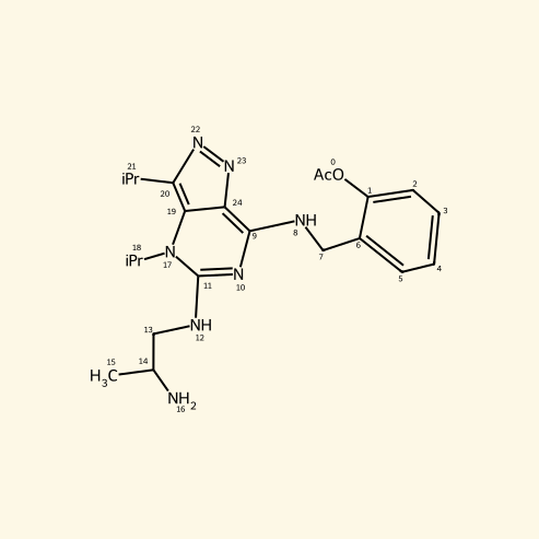 CC(=O)Oc1ccccc1CNc1nc(NCC(C)N)n(C(C)C)c2c(C(C)C)nnc1-2